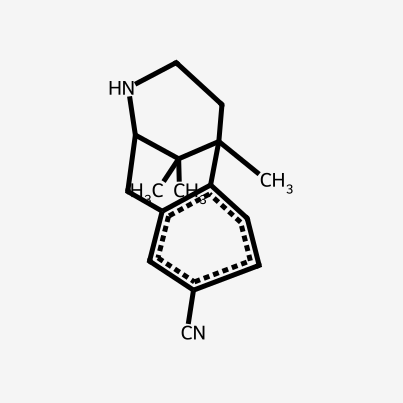 CC12CCNC(Cc3cc(C#N)ccc31)C2(C)C